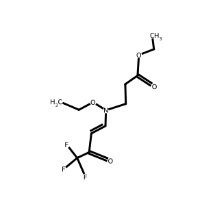 CCOC(=O)CCN(C=CC(=O)C(F)(F)F)OCC